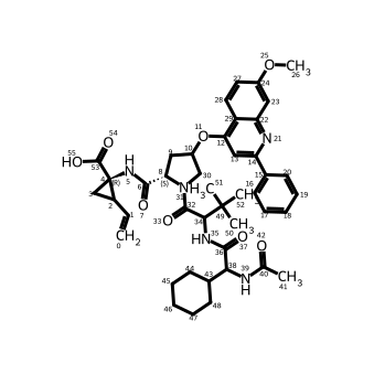 C=CC1C[C@]1(NC(=O)[C@@H]1CC(Oc2cc(-c3ccccc3)nc3cc(OC)ccc23)CN1C(=O)C(NC(=O)C(NC(C)=O)C1CCCCC1)C(C)(C)C)C(=O)O